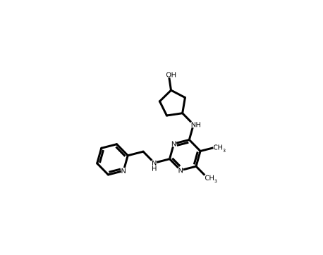 Cc1nc(NCc2ccccn2)nc(NC2CCC(O)C2)c1C